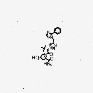 CNC(=O)C1CC(O)CN1C(=O)[C@@H](n1cc(Cn2ccnc2-c2ccccc2)nn1)C(C)(C)C